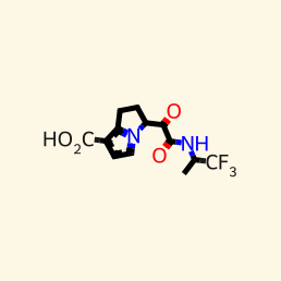 CC(NC(=O)C(=O)C1CCc2c(C(=O)O)ccn21)C(F)(F)F